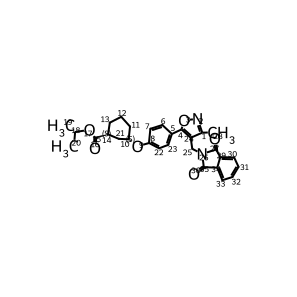 Cc1noc(-c2ccc(O[C@H]3CCC[C@H](C(=O)OC(C)C)C3)cc2)c1CN1C(=O)c2ccccc2C1=O